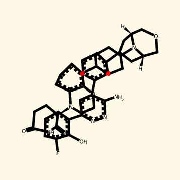 Nc1nnc(-c2cccc(F)c2O)cc1-c1cc(C2C[C@H]3COC[C@@H](C2)N3C2CCC(c3cccc4c3OCCN4[C@@H]3CCC(=O)NC3=O)CC2)ccn1